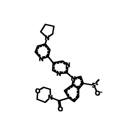 C[S+]([O-])c1cn(-c2ncc(-c3cc(N4CCCC4)ccn3)cn2)c2cc(C(=O)N3CCOCC3)ccc12